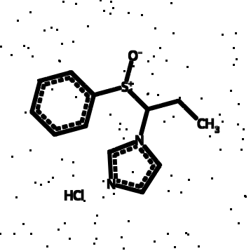 CCC(n1ccnc1)[S+]([O-])c1ccccc1.Cl